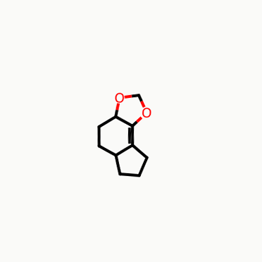 C1CC2=C3OCOC3CCC2C1